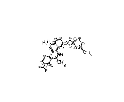 Cc1nnc(N[C@H](C)c2cccc(C(F)F)c2F)c2cc(N3CC4(CN(C)CCO4)C3)cnc12